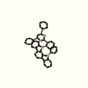 c1ccc(-c2cc(-c3ccccc3)nc(-c3ccccc3-n3c4ccccc4c4ccc5c6ccccc6n(-c6ccccc6)c5c43)n2)cc1